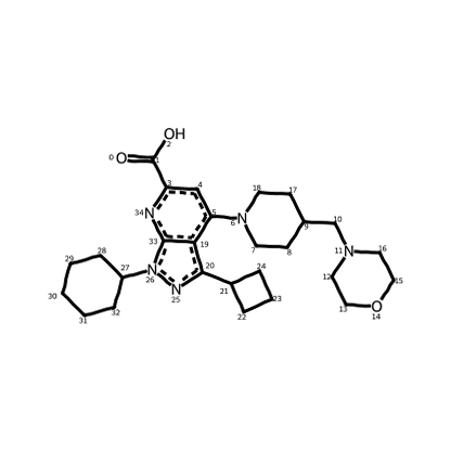 O=C(O)c1cc(N2CCC(CN3CCOCC3)CC2)c2c(C3CCC3)nn(C3CCCCC3)c2n1